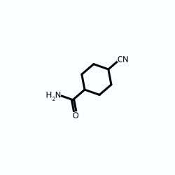 N#CC1CCC(C(N)=O)CC1